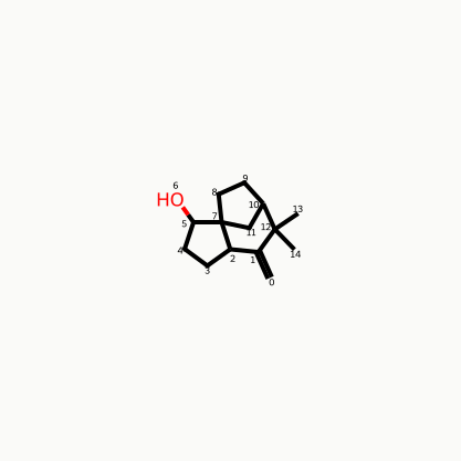 C=C1C2CCC(O)C23CCC(C3)C1(C)C